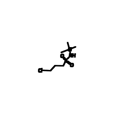 C[Si](C)(C)NS(=O)(=O)CCCCl